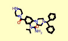 CC(C)N(C(N)=O)c1cc(C(=O)N2CCNCC2)ccc1N1CCN(C(c2ccccc2)c2ccccc2)CC1